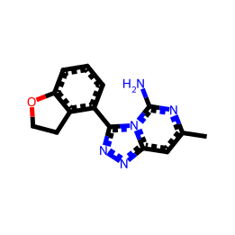 Cc1cc2nnc(-c3cccc4c3CCO4)n2c(N)n1